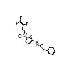 [O-][S+](CCC(F)=C(F)F)c1ncc(C=NOCc2ccccc2)s1